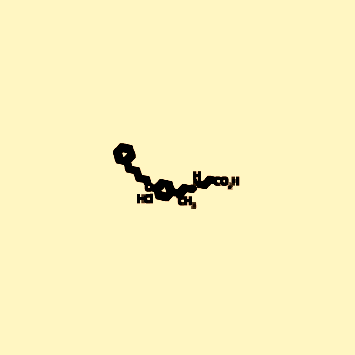 CC(=CCNCCC(=O)O)c1ccc(OCCCCc2ccccc2)cc1.Cl